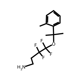 Cc1ccccc1C(C)(C)OC(F)(F)C(F)(F)CCN